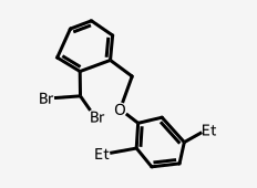 CCc1ccc(CC)c(OCc2ccccc2C(Br)Br)c1